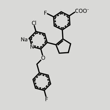 O=C([O-])c1cc(F)cc(C2=C(c3cc(Cl)cnc3OCc3ccc(F)cc3)CCC2)c1.[Na+]